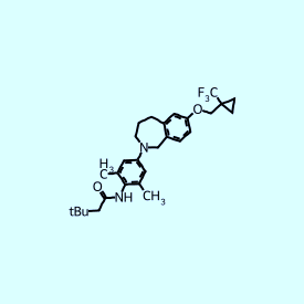 Cc1cc(N2CCCc3cc(OCC4(C(F)(F)F)CC4)ccc3C2)cc(C)c1NC(=O)CC(C)(C)C